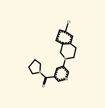 O=C(c1cncc(N2CCc3cc(Cl)ccc3C2)c1)N1CCCC1